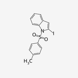 Cc1ccc(S(=O)(=O)n2c(I)cc3ccccc32)cc1